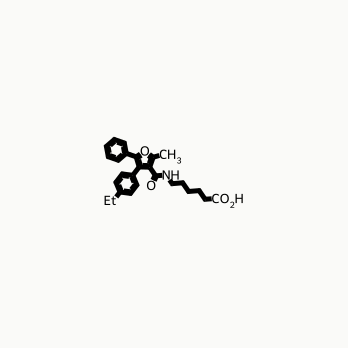 CCc1ccc(-c2c(-c3ccccc3)oc(C)c2C(=O)NCCCCCC(=O)O)cc1